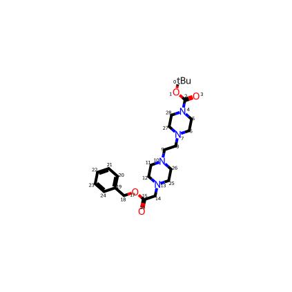 CC(C)(C)OC(=O)N1CCN(CCN2CCN(CC(=O)OCc3ccccc3)CC2)CC1